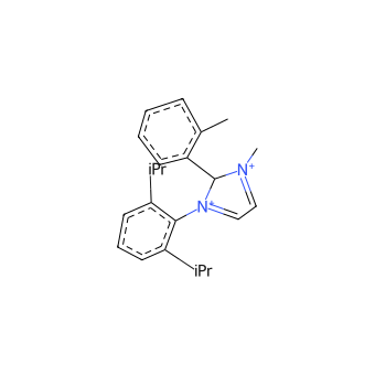 Cc1ccccc1C1[N+](C)=CC=[N+]1c1c(C(C)C)cccc1C(C)C